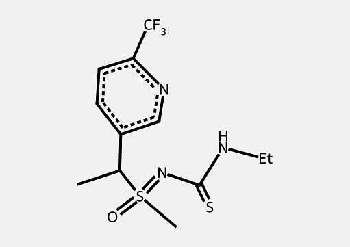 CCNC(=S)N=S(C)(=O)C(C)c1ccc(C(F)(F)F)nc1